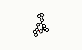 c1ccc(-n2c3ccccc3c3ccc(C(c4cccc(-c5ccc6c(ccc7ccccc76)c5)c4)c4ccc5c(c4)-c4cccc6cccc-5c46)cc32)cc1